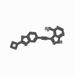 Nc1ncnc2[nH]nc(C#Cc3ccc4oc(C5CCC5)nc4c3)c12